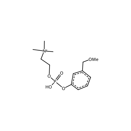 COCc1cccc(OP(=O)(O)OCC[N+](C)(C)C)c1